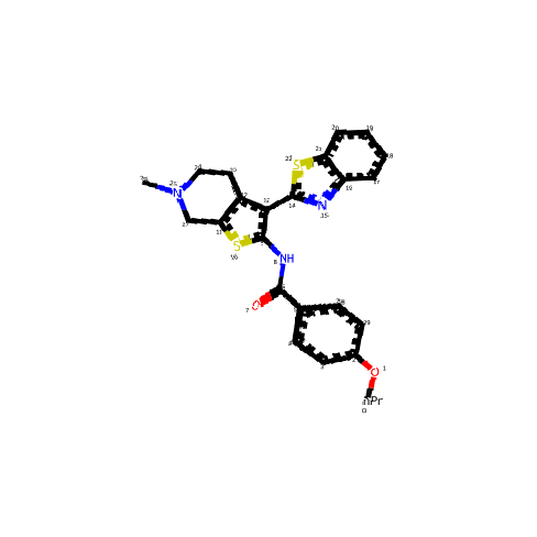 CCCOc1ccc(C(=O)Nc2sc3c(c2-c2nc4ccccc4s2)CCN(C)C3)cc1